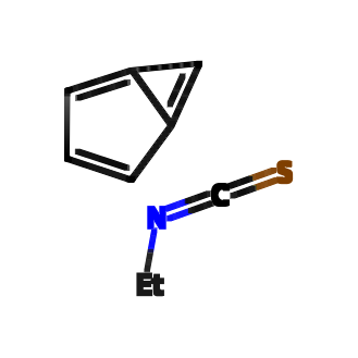 CCN=C=S.c1cc2cc-2c1